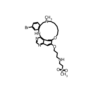 CN1CCCCCOc2cc3c(ncnc3cc2OCCCNCCS(C)(=O)=O)Nc2cc(Br)ccc2C1